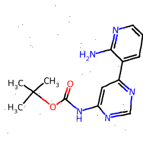 CC(C)(C)OC(=O)Nc1cc(-c2cccnc2N)ncn1